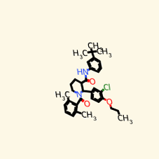 CCCOc1ccc(C2C(C(=O)Nc3cccc(C(C)(C)C)c3)CCCN2C(=O)c2c(C)cccc2C)cc1Cl